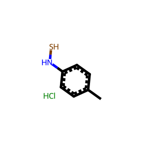 Cc1ccc(NS)cc1.Cl